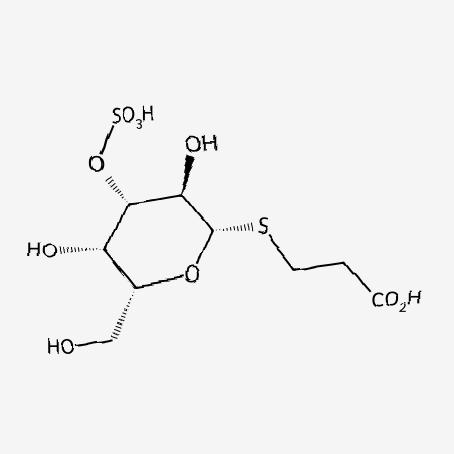 O=C(O)CCS[C@@H]1O[C@H](CO)[C@H](O)[C@H](OS(=O)(=O)O)[C@H]1O